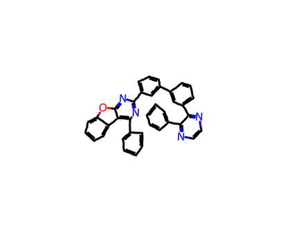 c1ccc(-c2nccnc2-c2cccc(-c3cccc(-c4nc(-c5ccccc5)c5c(n4)oc4ccccc45)c3)c2)cc1